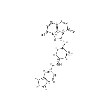 Cl.O=c1cnc2ccc(=O)n3c2n1C[C@H]3CN1CCC(NCc2cc3c(cn2)OCS3)CC1